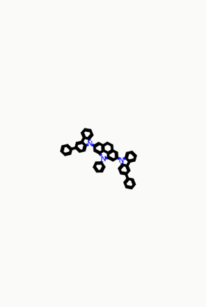 c1ccc(-c2ccc3c(c2)c2ccccc2n3-c2cc3c4c5c(cc(-n6c7ccccc7c7cc(-c8ccccc8)ccc76)cc5n(-c5ccccc5)c4c2)CC3)cc1